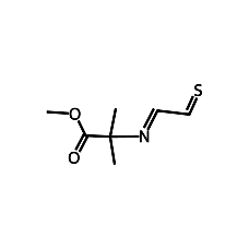 COC(=O)C(C)(C)N=CC=S